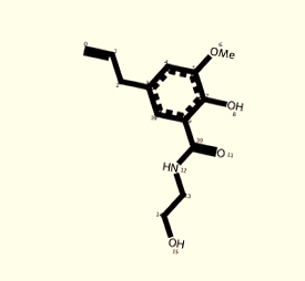 C=CCc1cc(OC)c(O)c(C(=O)NCCO)c1